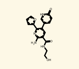 Nc1nc(-c2ccco2)c(-c2ccc(=O)[nH]c2)cc1C(=O)NCCO